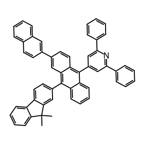 CC1(C)c2ccccc2-c2ccc(-c3c4ccccc4c(-c4cc(-c5ccccc5)nc(-c5ccccc5)c4)c4ccc(-c5ccc6ccccc6c5)cc34)cc21